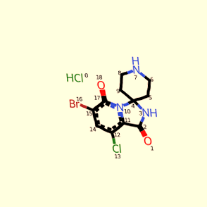 Cl.O=C1NC2(CCNCC2)n2c1c(Cl)cc(Br)c2=O